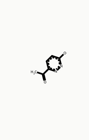 CC(=O)c1ccc([O])nn1